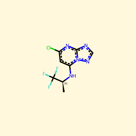 C[C@H](Nc1cc(Cl)nc2ncnn12)C(F)(F)F